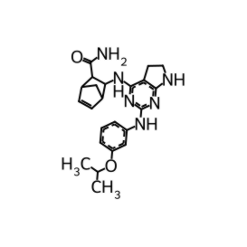 CC(C)Oc1cccc(Nc2nc3c(c(NC4C5C=CC(C5)C4C(N)=O)n2)CCN3)c1